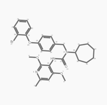 COc1cc(C)nc(OC)c1NC(=O)N(Cc1ccc(Oc2ccccc2Br)cc1)C1CCCCCC1